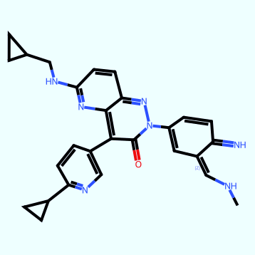 CN/C=C1/C=C(n2nc3ccc(NCC4CC4)nc3c(-c3ccc(C4CC4)nc3)c2=O)C=CC1=N